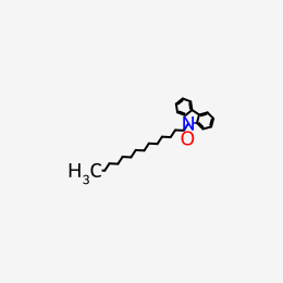 CCCCCCCCCCCCCC(=O)n1c2ccccc2c2ccccc21